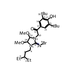 CCC(CC)CCN1/C(=N/Br)N(CC(=O)c2cc(C(C)(C)C)c(O)c(C(C)(C)C)c2)C(OC)C1OC